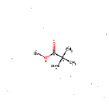 CNC(C)(C)C(=O)OC(C)(C)C